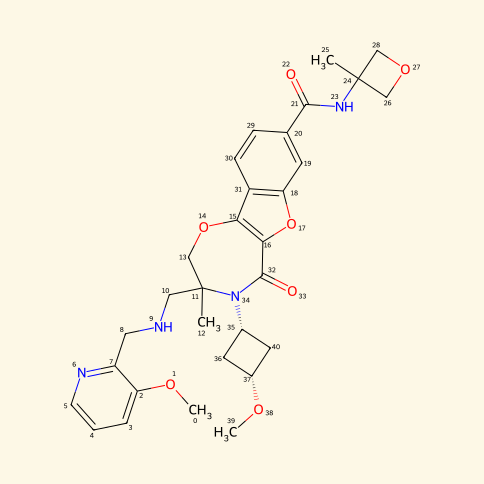 COc1cccnc1CNCC1(C)COc2c(oc3cc(C(=O)NC4(C)COC4)ccc23)C(=O)N1[C@H]1C[C@@H](OC)C1